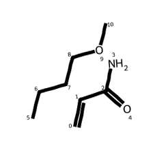 C=CC(N)=O.CCCCOC